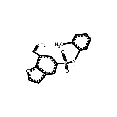 C=Cc1cc(S(=O)(=O)Nc2ccccc2C)cc2ccoc12